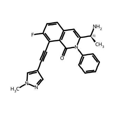 C[C@H](N)c1cc2ccc(F)c(C#Cc3cnn(C)c3)c2c(=O)n1-c1ccccc1